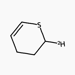 [2H]C1CCC=CS1